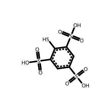 O=S(=O)(O)c1cc(S(=O)(=O)O)c(S)c(S(=O)(=O)O)c1